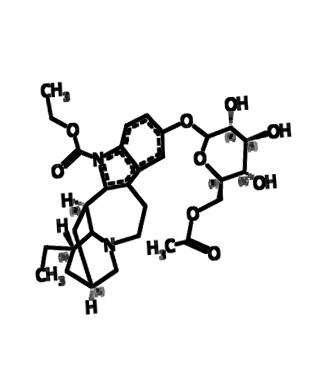 CCOC(=O)n1c2c(c3cc(OC4O[C@H](COC(C)=O)[C@@H](O)[C@H](O)[C@H]4O)ccc31)CCN1C[C@H]3C[C@H](CC)C1[C@H]2C3